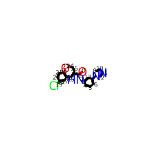 O=C(Nc1cccc(-n2ccnc2)c1)C1=Cc2cc(Cl)ccc2OCC1